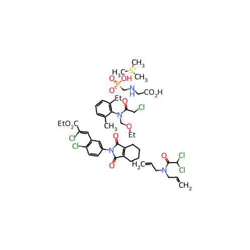 C=CCN(CC=C)C(=O)C(Cl)Cl.CCOC(=O)/C(Cl)=C/c1cc(N2C(=O)C3=C(CCCC3)C2=O)ccc1Cl.CCOCN(C(=O)CCl)c1c(C)cccc1CC.C[S+](C)C.O=C(O)CNCP(=O)([O-])O